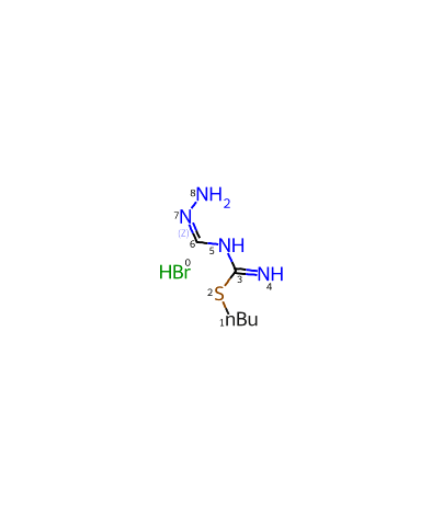 Br.CCCCSC(=N)N/C=N\N